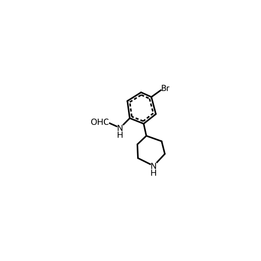 O=CNc1ccc(Br)cc1C1CCNCC1